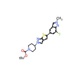 Cn1cc2cc(-c3cc4cn(C5CCN(C(=O)OC(C)(C)C)CC5)nc4s3)cc(F)c2n1